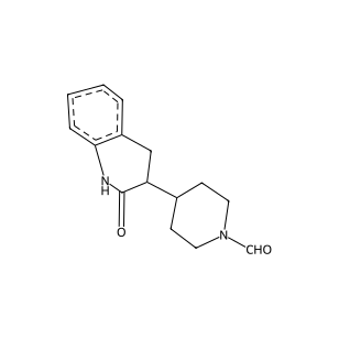 O=CN1CCC(C2Cc3ccccc3NC2=O)CC1